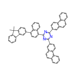 CC1(C)c2ccccc2-c2cc(-c3ccc(-c4nc(-c5ccc6c(ccc7ccccc76)c5)nc(-c5ccc6c(ccc7ccccc76)c5)n4)c4ccccc34)ccc21